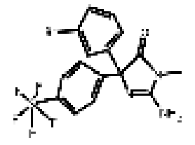 CN1C(=O)C(c2ccc(S(F)(F)(F)(F)F)cc2)(c2cccc(Br)c2)N=C1N